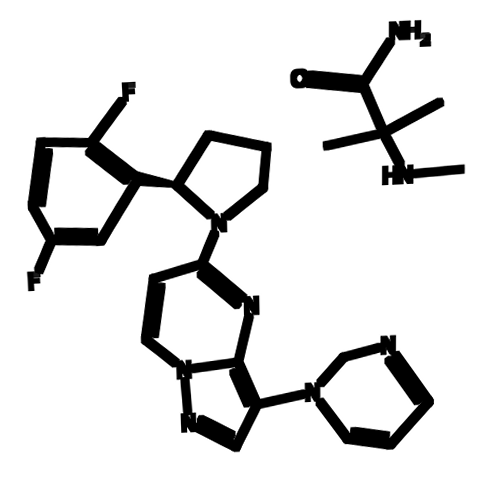 CNC(C)(C)C(N)=O.Fc1ccc(F)c([C@H]2CCCN2c2ccn3ncc(N4C=CC=NC4)c3n2)c1